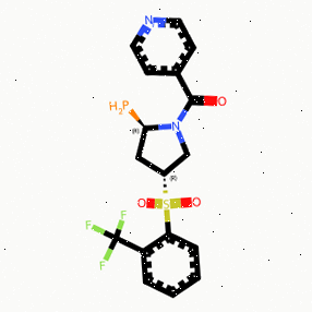 O=C(c1ccncc1)N1C[C@H](S(=O)(=O)c2ccccc2C(F)(F)F)C[C@H]1P